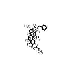 CCC(=O)OC1=C[C@@]2(C)C(=C(F)C1=[17O])[C@@H](F)C[C@H]1[C@@H]3C[C@H](C)[C@H](C(=O)OCc4ccccc4)[C@@]3(C)C[C@H](Cl)[C@@]12Cl